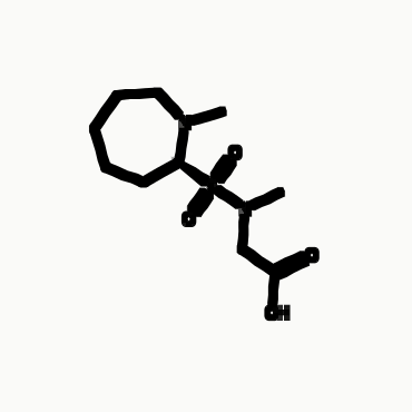 CN1CCCCC[C@@H]1S(=O)(=O)N(C)CC(=O)O